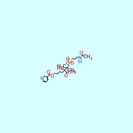 CC(=O)NCCCS(=O)(=O)OCC(C)(C)[C@](O)(CCCCOC(=O)c1cccnc1)C(=O)O